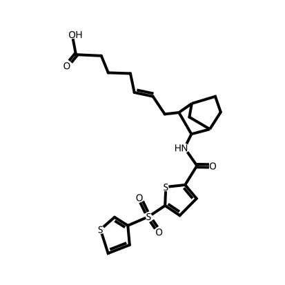 O=C(O)CCCC=CCC1C2CCC(C2)C1NC(=O)c1ccc(S(=O)(=O)c2ccsc2)s1